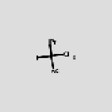 CC(=O)C(C)(I)C(C)C